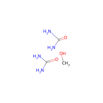 CO.NC(N)=O.NC(N)=O